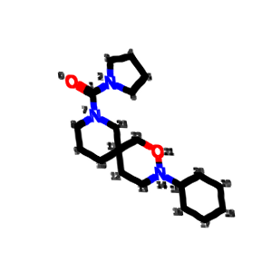 O=C(N1CCCC1)N1CCCC2(CCN(C3CCCCC3)OC2)C1